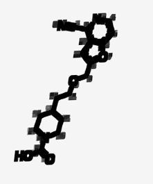 N#Cc1nccc2oc(COCCC3CCN(C(=O)O)CC3)cc12